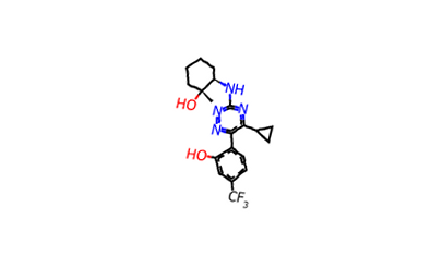 C[C@@]1(O)CCCC[C@H]1Nc1nnc(-c2ccc(C(F)(F)F)cc2O)c(C2CC2)n1